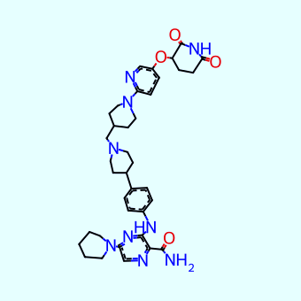 NC(=O)c1ncc(N2CCCCC2)nc1Nc1ccc(C2CCN(CC3CCN(c4ccc(OC5CCC(=O)NC5=O)cn4)CC3)CC2)cc1